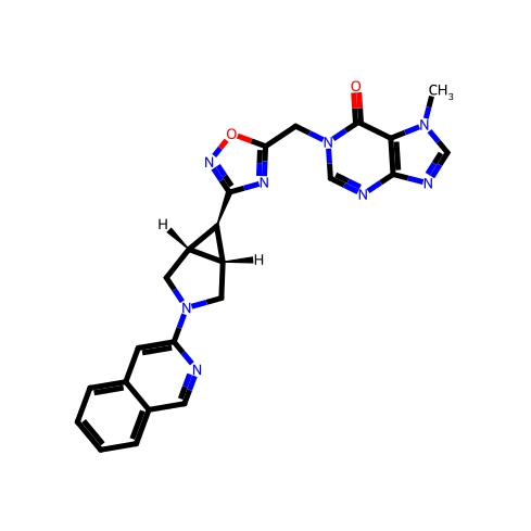 Cn1cnc2ncn(Cc3nc([C@H]4[C@@H]5CN(c6cc7ccccc7cn6)C[C@@H]54)no3)c(=O)c21